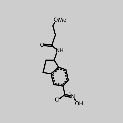 COCCC(=O)NC1CCc2cc(/C(Cl)=N/O)ccc21